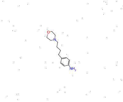 Nc1ccc(CCCCN2CCOCC2)cc1